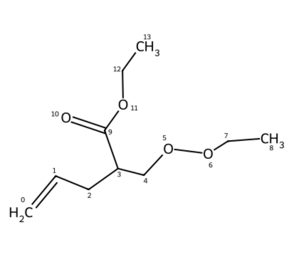 C=CCC(COOCC)C(=O)OCC